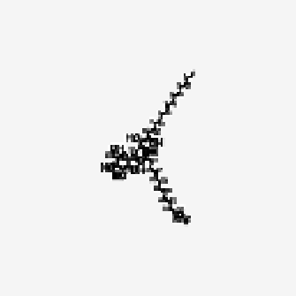 CCCCCCCCCCCCCC[C@@H](O)[C@@H](O)[C@H](COC1OC(CO)C(O)C(O)C1O)NC(=O)CCCCCCCCCCC12CC(F)(C1)C2